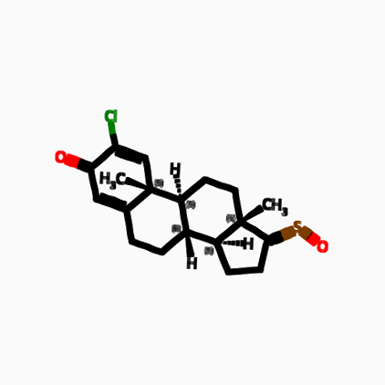 C[C@]12C=C(Cl)C(=O)C=C1CC[C@@H]1[C@@H]2CC[C@]2(C)C(=S=O)CC[C@@H]12